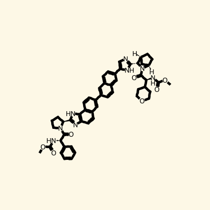 COC(=O)N[C@H](C(=O)N1CCC[C@H]1c1nc2ccc3cc(-c4ccc5cc(-c6cnc([C@@H]7[C@H]8CC[C@H](C8)N7C(=O)[C@@H](NC(=O)OC)C7CCOCC7)[nH]6)ccc5c4)ccc3c2[nH]1)c1ccccc1